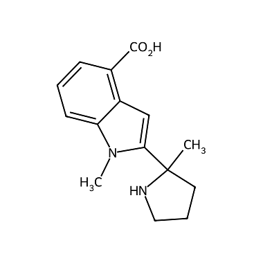 Cn1c(C2(C)CCCN2)cc2c(C(=O)O)cccc21